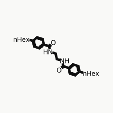 CCCCCCc1ccc(C(=O)NCCNC(=O)c2ccc(CCCCCC)cc2)cc1